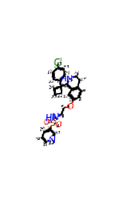 O=S(=O)(NCCOc1ccc2c(c1)C(C1(c3ccc(Cl)cc3)CCC1)NCC2)c1cccnc1